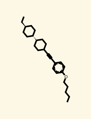 CCCCCOc1ccc(C#CC2CCC([C@H]3CC[C@H](CC)CC3)CC2)cc1